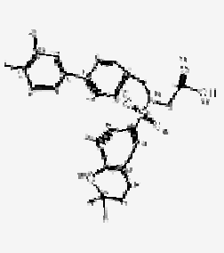 Cc1ccc(-c2ccc(CN(CC(=O)O)S(=O)(=O)c3ccc4c(c3)CCC(C)(C)O4)cc2)cc1C